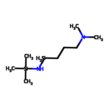 CN(C)CCC[SiH2]N[Si](C)(C)C